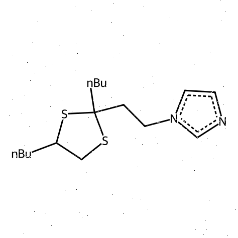 CCCCC1CSC(CCCC)(CCn2ccnc2)S1